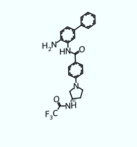 Nc1ccc(-c2ccccc2)cc1NC(=O)c1ccc(N2CC[C@H](NC(=O)C(F)(F)F)C2)cc1